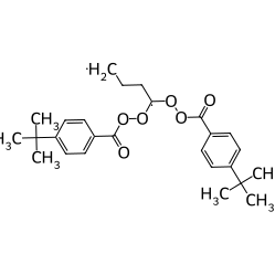 [CH2]CC[C](OOC(=O)c1ccc(C(C)(C)C)cc1)OOC(=O)c1ccc(C(C)(C)C)cc1